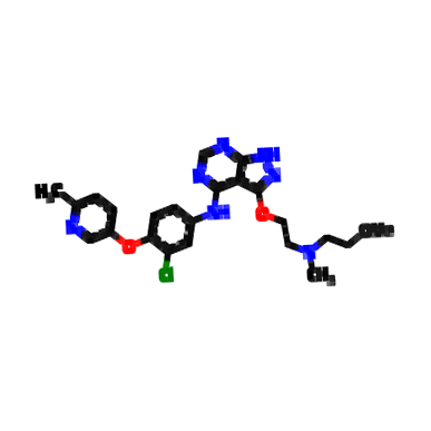 COCCN(C)CCOc1n[nH]c2ncnc(Nc3ccc(Oc4ccc(C)nc4)c(Cl)c3)c12